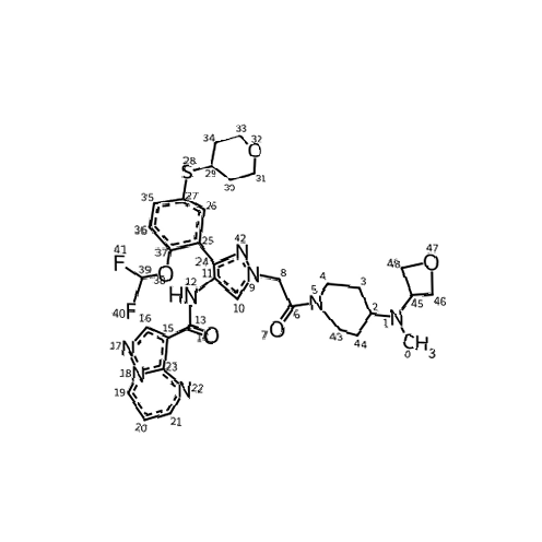 CN(C1CCN(C(=O)Cn2cc(NC(=O)c3cnn4cccnc34)c(-c3cc(SC4CCOCC4)ccc3OC(F)F)n2)CC1)C1COC1